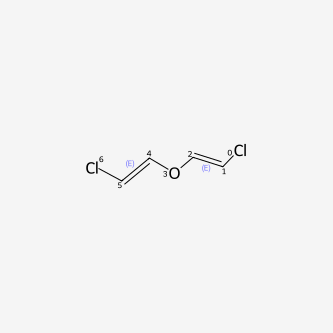 Cl/C=C/O/C=C/Cl